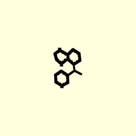 CC(c1cccnc1)c1cccc2nccnc12